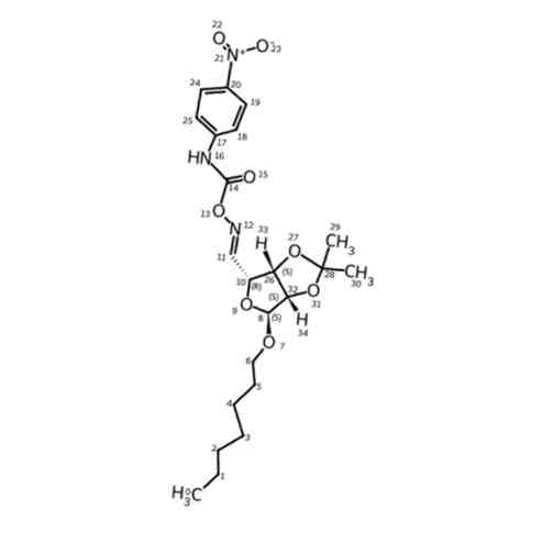 CCCCCCCO[C@H]1O[C@H](C=NOC(=O)Nc2ccc([N+](=O)[O-])cc2)[C@@H]2OC(C)(C)O[C@H]12